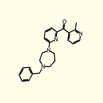 Cc1ncccc1C(=O)c1cccc(N2CCCN(Cc3ccccc3)CC2)n1